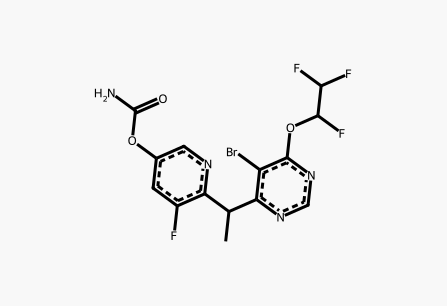 CC(c1ncc(OC(N)=O)cc1F)c1ncnc(OC(F)C(F)F)c1Br